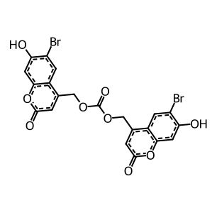 O=C(OCc1cc(=O)oc2cc(O)c(Br)cc12)OCc1cc(=O)oc2cc(O)c(Br)cc12